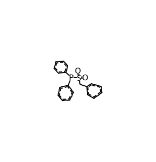 O=S(=O)(Cc1ccccc1)P(c1ccccc1)c1ccccc1